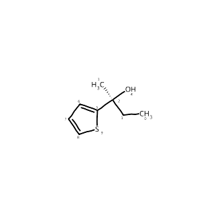 CC[C@](C)(O)c1cccs1